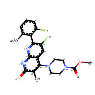 COc1cccc(F)c1-c1nc2[nH]c(=O)c(C#N)c(N3CCN(C(=O)OC(C)(C)C)CC3)c2cc1F